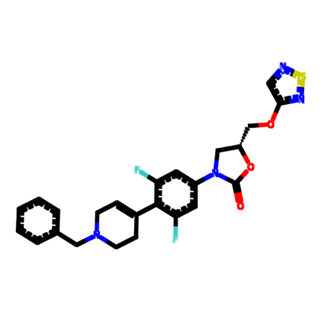 O=C1O[C@@H](COc2cnsn2)CN1c1cc(F)c(C2=CCN(Cc3ccccc3)CC2)c(F)c1